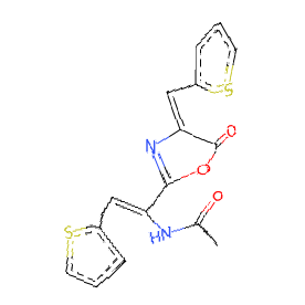 CC(=O)NC(=Cc1cccs1)C1=NC(=Cc2cccs2)C(=O)O1